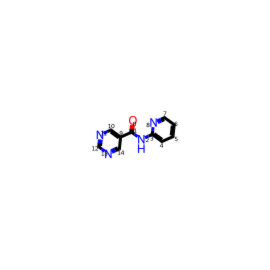 O=C(Nc1ccccn1)c1cncnc1